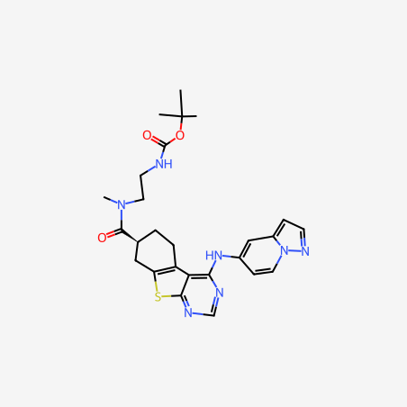 CN(CCNC(=O)OC(C)(C)C)C(=O)[C@H]1CCc2c(sc3ncnc(Nc4ccn5nccc5c4)c23)C1